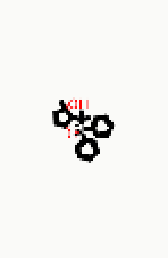 CC1(O)CCC2O[Si](c3ccccc3)(c3ccccc3)C(C)(C)C21